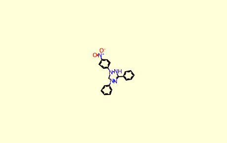 O=[N+]([O-])c1ccc(N2CN(c3ccccc3)N=C(c3ccccc3)N2)cc1